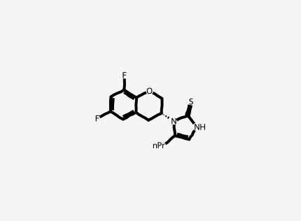 CCCc1c[nH]c(=S)n1[C@H]1COc2c(F)cc(F)cc2C1